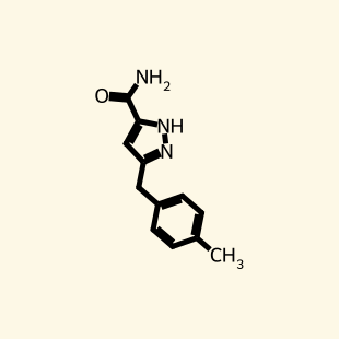 Cc1ccc(Cc2cc(C(N)=O)[nH]n2)cc1